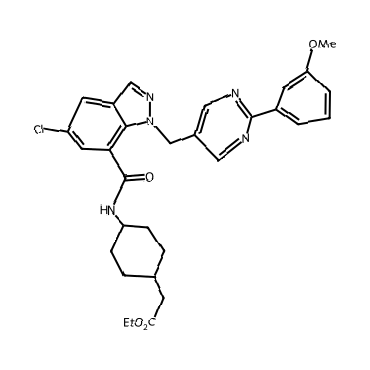 CCOC(=O)CC1CCC(NC(=O)c2cc(Cl)cc3cnn(Cc4cnc(-c5cccc(OC)c5)nc4)c23)CC1